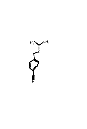 N#Cc1ccc(CSC(N)N)cc1